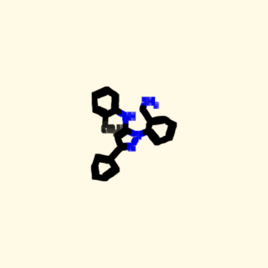 NCc1ccccc1-n1nc(-c2ccccc2)cc1Nc1ccccc1C(=O)O